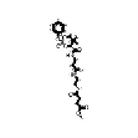 COC(=O)CCC(=O)SCCNC(=O)CCNC(=O)[C@@H]1OP(=O)(Oc2ccccc2)OCC1(C)C